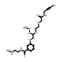 CC(C)C#CCNC(=O)COCCOC(COc1cccc(C(=O)NCCNC(C)C)c1)SSC(C)(C)C